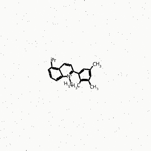 Cc1cc(C)c(C)c(-c2ccc3c(C(C)C)cccc3[n+]2C)c1